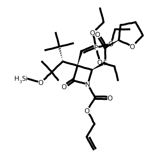 C=CCOC(=O)N1C(=O)[C@](C=P(OCC)(OCC)OCC)([C@@H](C(C)(C)C)C(C)(C)O[SiH3])[C@H]1SC(=O)[C@H]1CCCO1